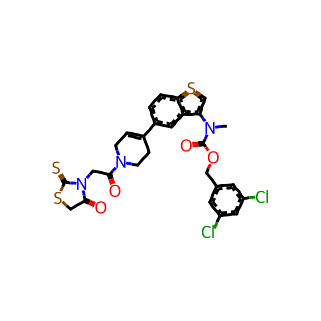 CN(C(=O)OCc1cc(Cl)cc(Cl)c1)c1csc2ccc(C3=CCN(C(=O)CN4C(=O)CSC4=S)CC3)cc12